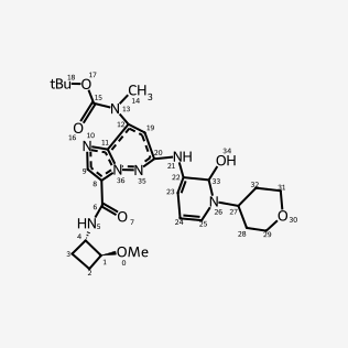 CO[C@H]1CC[C@@H]1NC(=O)c1cnc2c(N(C)C(=O)OC(C)(C)C)cc(NC3=CC=CN(C4CCOCC4)C3O)nn12